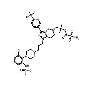 CC(C)(CN1CCc2c(c(-c3ccc(C(F)(F)F)cc3)nn2CCCN2CCN(c3c(Cl)cccc3NS(C)(=O)=O)CC2)C1)OC(=O)S(N)(=O)=O